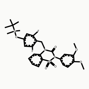 COc1ccc(N2C(=O)N(Cc3c(F)cc(O[Si](C)(C)C(C)(C)C)cc3F)c3ccccc3S2(=O)=O)cc1OC